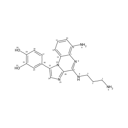 NCCCNc1nc2c(N)cccc2n2c(-c3ccc(O)c(O)c3)cnc12